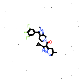 Cc1cnn2nc(C3CC3)c(C(=O)N3CCc4c(nn(C)c4-c4cc(F)c(F)c(F)c4)C3)c2c1